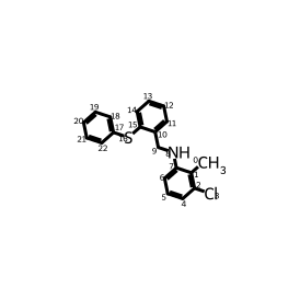 Cc1c(Cl)cccc1NCc1ccccc1Sc1ccccc1